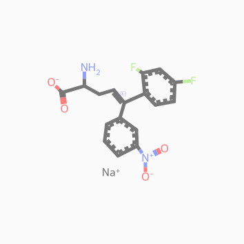 NC(C/C=C(\c1cccc([N+](=O)[O-])c1)c1ccc(F)cc1F)C(=O)[O-].[Na+]